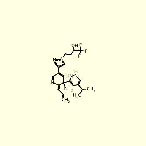 C=C/C=C1/N=CC(c2cnn(CCC(O)C(F)(F)F)c2)=CC1(N)C1=CC(C(C)C)=CNN1